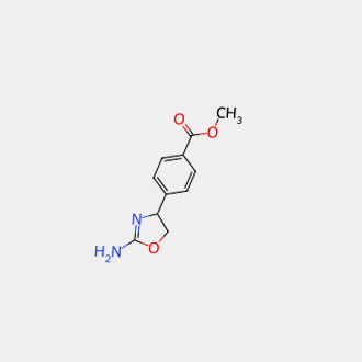 COC(=O)c1ccc(C2COC(N)=N2)cc1